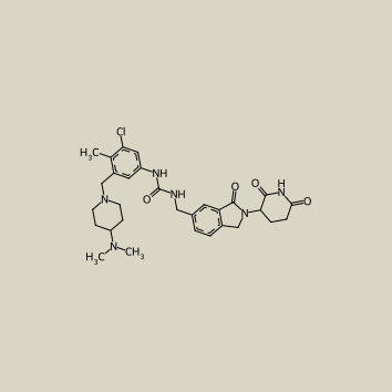 Cc1c(Cl)cc(NC(=O)NCc2ccc3c(c2)C(=O)N(C2CCC(=O)NC2=O)C3)cc1CN1CCC(N(C)C)CC1